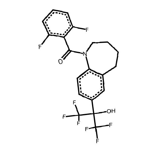 O=C(c1c(F)cccc1F)N1CCCCc2cc(C(O)(C(F)(F)F)C(F)(F)F)ccc21